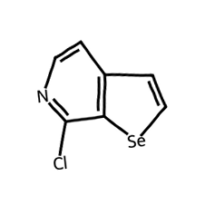 Clc1nccc2cc[se]c12